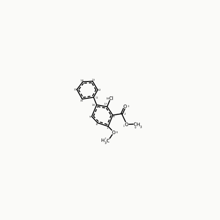 COC(=O)c1c(OC)ccc(-c2ccccc2)c1Cl